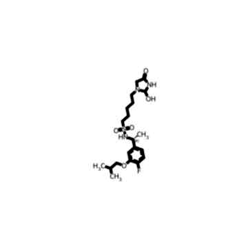 CC(C)COc1cc([C@@H](C)NS(=O)(=O)CCCCCN2CC(=O)NC2O)ccc1F